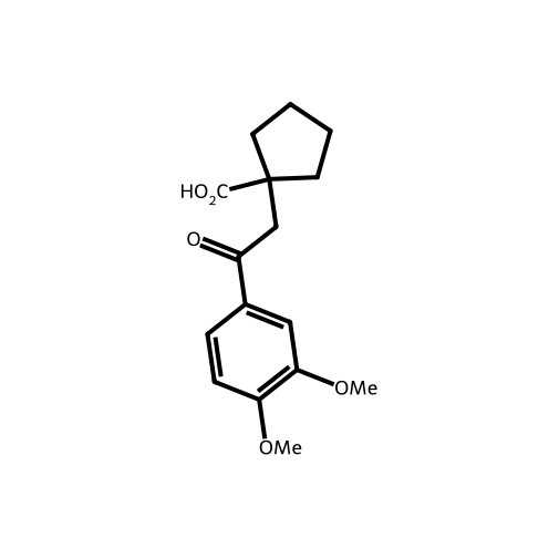 COc1ccc(C(=O)CC2(C(=O)O)CCCC2)cc1OC